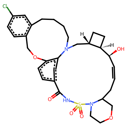 O=C1NS(=O)(=O)N2CCOCC2C/C=C\[C@H](O)[C@@H]2CC[C@H]2CN2CCCCc3cc(Cl)ccc3COc3ccc1cc32